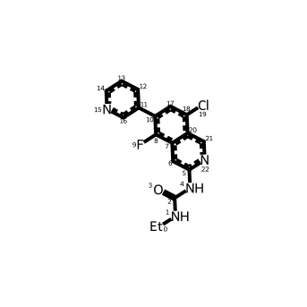 CCNC(=O)Nc1cc2c(F)c(-c3cccnc3)cc(Cl)c2cn1